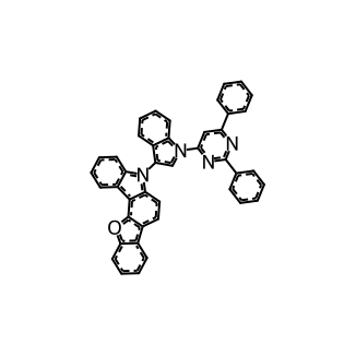 c1ccc(-c2cc(-n3cc(-n4c5ccccc5c5c6oc7ccccc7c6ccc54)c4ccccc43)nc(-c3ccccc3)n2)cc1